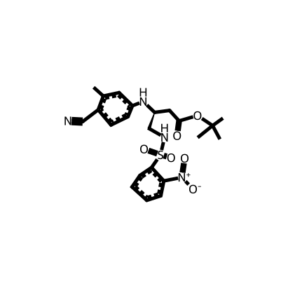 Cc1cc(N[C@H](CNS(=O)(=O)c2ccccc2[N+](=O)[O-])CC(=O)OC(C)(C)C)ccc1C#N